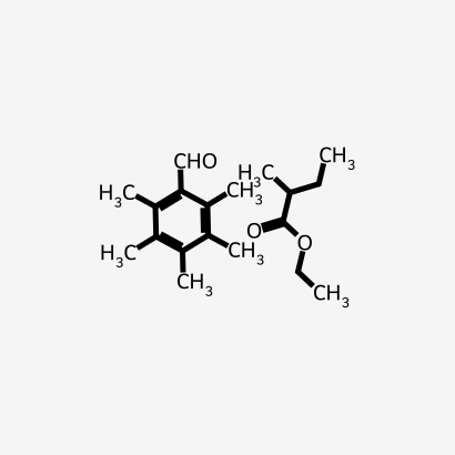 CCOC(=O)C(C)CC.Cc1c(C)c(C)c(C=O)c(C)c1C